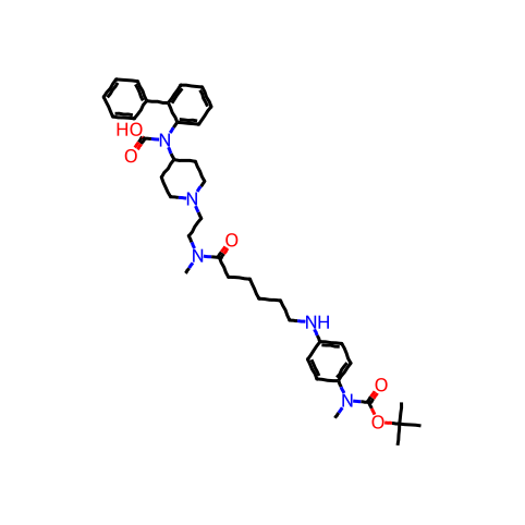 CN(CCN1CCC(N(C(=O)O)c2ccccc2-c2ccccc2)CC1)C(=O)CCCCCNc1ccc(N(C)C(=O)OC(C)(C)C)cc1